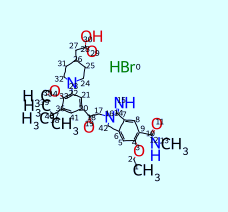 Br.CCOc1cc2c(cc1C(=O)NC)C(=N)N(CC(=O)c1cc(N3CCC(CC(=O)O)CC3)c(OC)c(C(C)(C)C)c1)C2